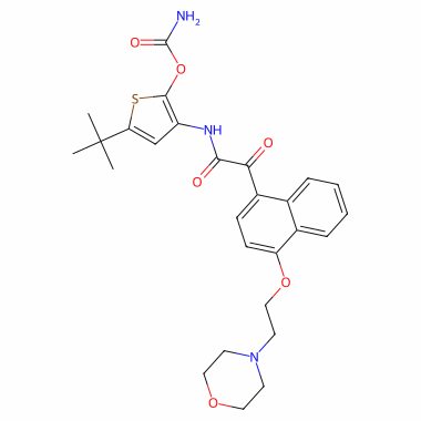 CC(C)(C)c1cc(NC(=O)C(=O)c2ccc(OCCN3CCOCC3)c3ccccc23)c(OC(N)=O)s1